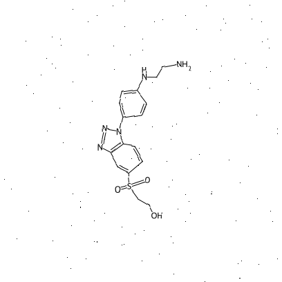 NCCNc1ccc(-n2nnc3cc(S(=O)(=O)CCO)ccc32)cc1